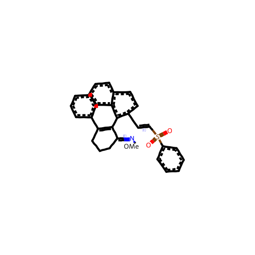 CO/N=C1\CCCC(c2ccccc2)=C1c1c(/C=C/S(=O)(=O)c2ccccc2)ccc2ccccc12